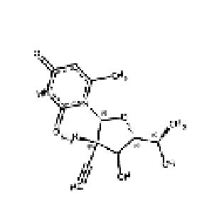 C#C[C@@]1(N)C(O)[C@@H]([C@@H](C)O)O[C@H]1n1c(C)cc(=O)[nH]c1=O